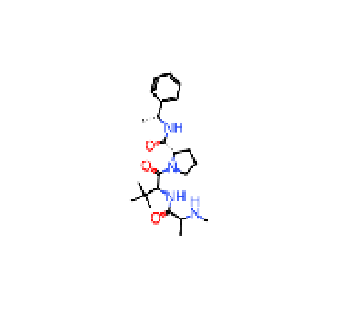 CN[C@@H](C)C(=O)N[C@H](C(=O)N1CCC[C@H]1C(=O)N[C@H](C)c1ccccc1)C(C)(C)C